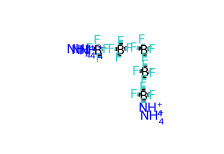 F[B-](F)(F)F.F[B-](F)(F)F.F[B-](F)(F)F.F[B-](F)(F)F.F[B-](F)(F)F.[NH4+].[NH4+].[NH4+].[NH4+].[NH4+]